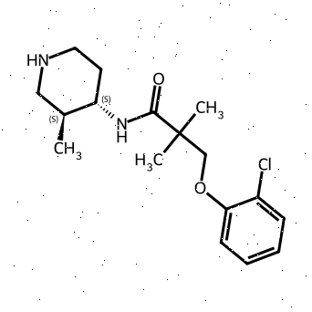 C[C@H]1CNCC[C@@H]1NC(=O)C(C)(C)COc1ccccc1Cl